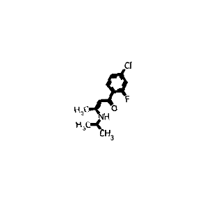 C/C(=C/C(=O)c1ccc(Cl)cc1F)NC(C)C